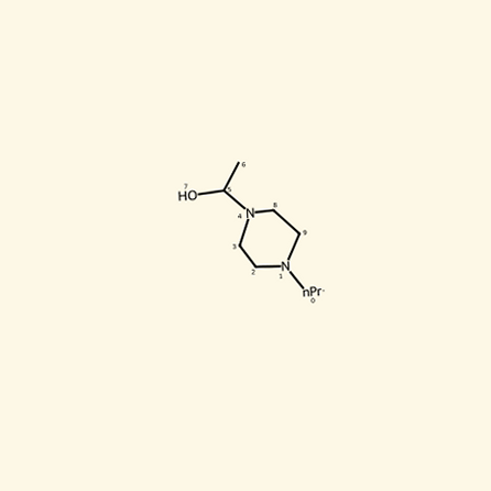 CC[CH]N1CCN(C(C)O)CC1